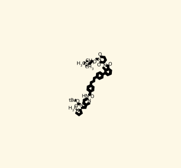 CN1CCC[C@@H]1c1cc2cnc(NC(=O)c3ccc(CCCc4ccc(-c5cccc6c5CN(C5CCC(=O)N(COCC[Si](C)(C)C)C5=O)C6=O)cc4)cc3)cc2n1C(=O)OC(C)(C)C